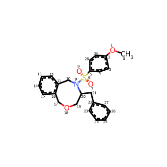 COc1ccc(S(=O)(=O)N2Cc3ccccc3COCC2Cc2ccccc2)cc1